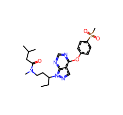 CCC(CCN(C)C(=O)CC(C)C)n1ncc2c(Oc3ccc(S(C)(=O)=O)cc3)ncnc21